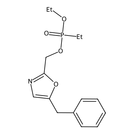 CCOP(=O)(CC)OCc1ncc(Cc2ccccc2)o1